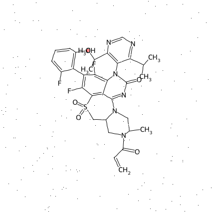 C=CC(=O)N1CC2CS(=O)(=O)c3c(F)c(-c4c(O)cccc4F)c(F)c4c3c(nc(=O)n4-c3c(C(C)C)ncnc3C(C)C)N2CC1C